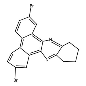 Brc1ccc2c3ccc(Br)cc3c3nc4c(nc3c2c1)CCCC4